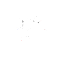 CCOC(=O)C1(C)C=C(C(=O)OC)C(N)=C(C)C1